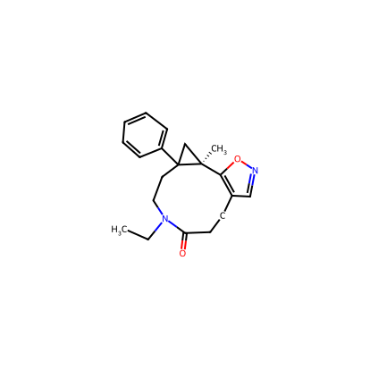 CCN1CCC2(c3ccccc3)C[C@@]2(C)c2oncc2CCC1=O